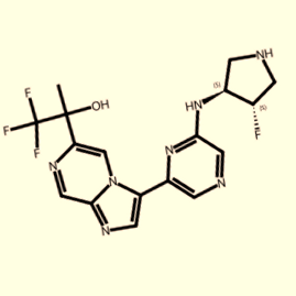 CC(O)(c1cn2c(-c3cncc(N[C@H]4CNC[C@@H]4F)n3)cnc2cn1)C(F)(F)F